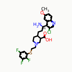 COc1ccc2ncc(Cl)c([C@H](N)CCC3CCN(CCSc4cc(F)cc(F)c4F)CC3C(=O)O)c2c1